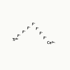 [Ce+3].[F-].[F-].[F-].[F-].[F-].[F-].[F-].[Ti+4]